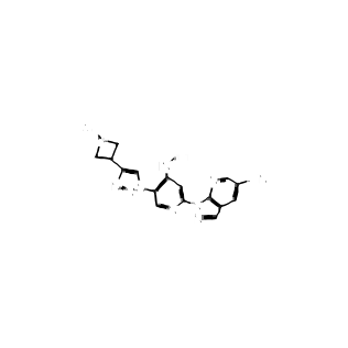 CC(=O)N1CC(c2cn(-c3cnc(-n4ncc5cc(C#N)cnc54)cc3NC(C)C)nn2)C1